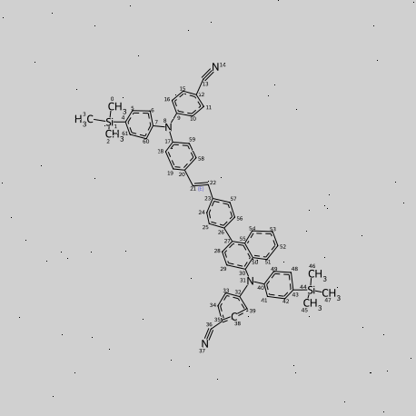 C[Si](C)(C)c1ccc(N(c2ccc(C#N)cc2)c2ccc(/C=C/c3ccc(-c4ccc(N(c5ccc(C#N)cc5)c5ccc([Si](C)(C)C)cc5)c5ccccc45)cc3)cc2)cc1